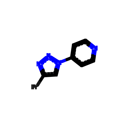 CC(C)c1cn(-c2ccncc2)nn1